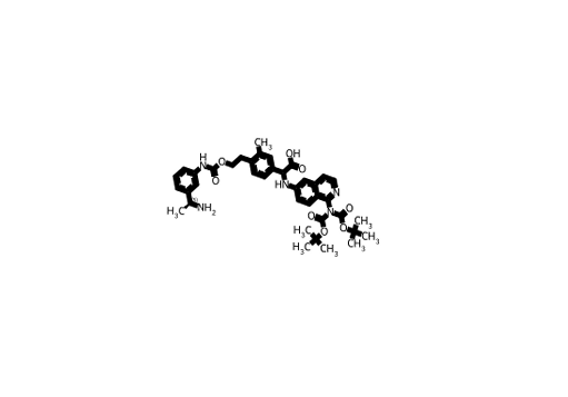 Cc1cc(C(Nc2ccc3c(N(C(=O)OC(C)(C)C)C(=O)OC(C)(C)C)nccc3c2)C(=O)O)ccc1CCOC(=O)Nc1cccc([C@H](C)N)c1